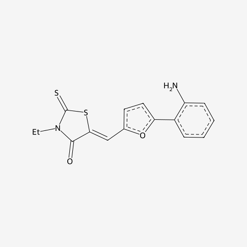 CCN1C(=O)C(=Cc2ccc(-c3ccccc3N)o2)SC1=S